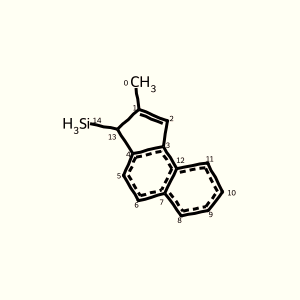 CC1=Cc2c(ccc3ccccc23)C1[SiH3]